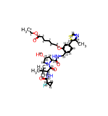 CCOC(=O)CCCCCOc1cc(-c2scnc2C)ccc1CNC(=O)[C@@H]1C[C@@H](O)CN1C(=O)[C@@H](NC(=O)C1(F)CC1)C(C)(C)C